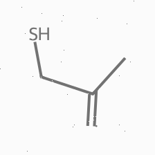 [CH]=C(C)CS